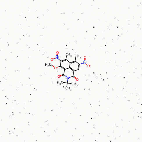 Cc1c([N+](=O)[O-])cc2c3c(c(O[SiH3])c([N+](=O)[O-])c(C)c13)C(=O)N(C(C)(C)C)C2=O